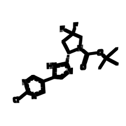 CC(C)(C)OC(=O)N1CC(F)(F)C[C@H]1c1ncc(-c2cnc(Cl)nc2)[nH]1